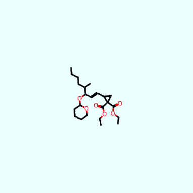 CCCCC(C)C(C=CC1CC1(C(=O)OCC)C(=O)OCC)OC1CCCCO1